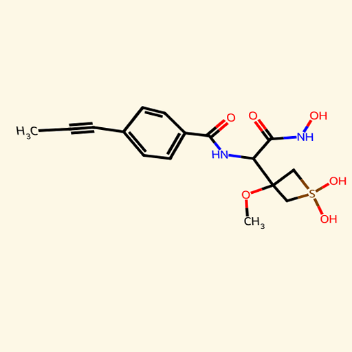 CC#Cc1ccc(C(=O)NC(C(=O)NO)C2(OC)CS(O)(O)C2)cc1